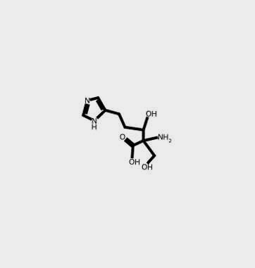 NC(CO)(C(=O)O)C(O)CCc1cnc[nH]1